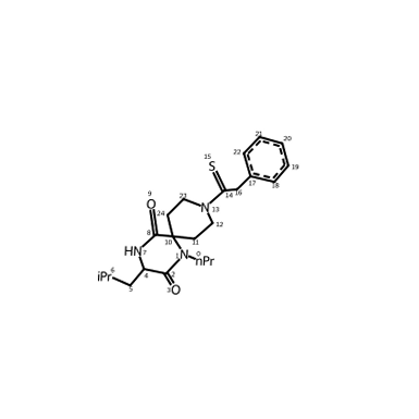 CCCN1C(=O)C(CC(C)C)NC(=O)C12CCN(C(=S)Cc1ccccc1)CC2